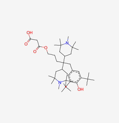 CN1C(C)(C)CC(C(CCCOC(=O)CC(=O)O)(Cc2cc(C(C)(C)C)c(O)c(C(C)(C)C)c2)C2CC(C)(C)N(C)C(C)(C)C2)CC1(C)C